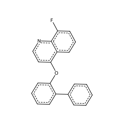 Fc1cccc2c(Oc3ccccc3-c3ccccc3)ccnc12